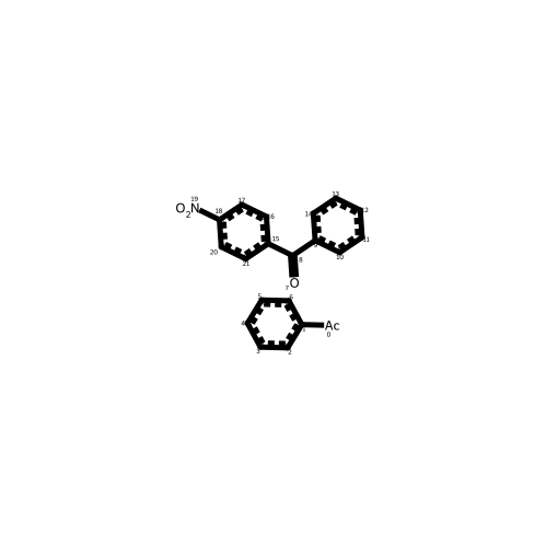 CC(=O)c1ccccc1.O=C(c1ccccc1)c1ccc([N+](=O)[O-])cc1